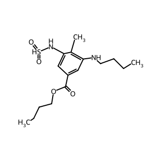 CCCCNc1cc(C(=O)OCCCC)cc(N[SH](=O)=O)c1C